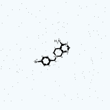 Nc1ncnc2c1CCN(Cc1ccc(Br)cc1)C2